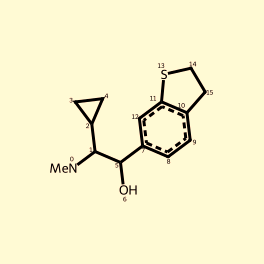 CNC(C1CC1)C(O)c1ccc2c(c1)SCC2